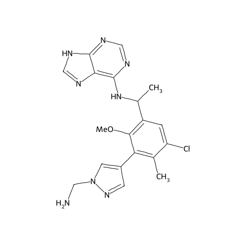 COc1c(C(C)Nc2ncnc3[nH]cnc23)cc(Cl)c(C)c1-c1cnn(CN)c1